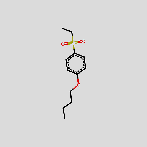 CCCCOc1ccc(S(=O)(=O)CC)cc1